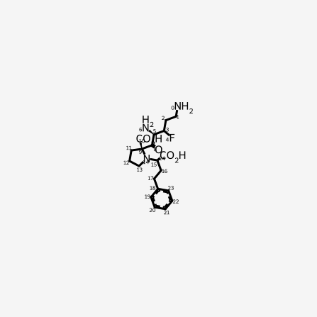 NCCC(F)[C@H](N)C(=O)[C@@]1(C(=O)O)CCCN1C(CCc1ccccc1)C(=O)O